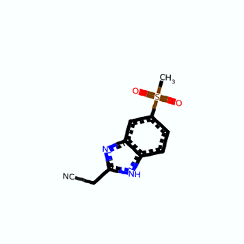 CS(=O)(=O)c1ccc2[nH]c(CC#N)nc2c1